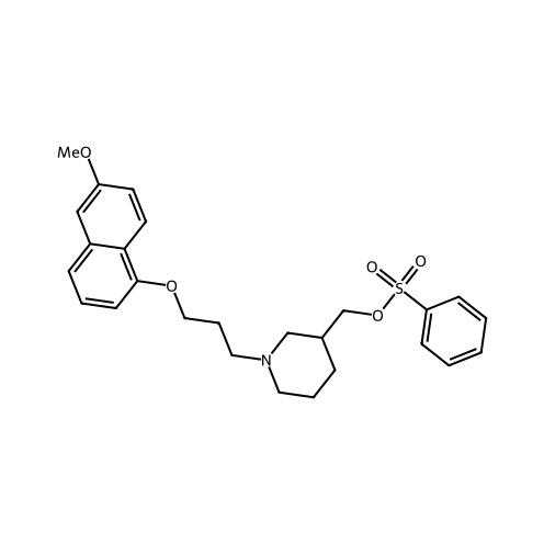 COc1ccc2c(OCCCN3CCCC(COS(=O)(=O)c4ccccc4)C3)cccc2c1